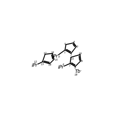 CC(C)C1=CC=CC1.CC(C)C1=CC=CC1.CC(C)C1=CC=CC1.[Tb]